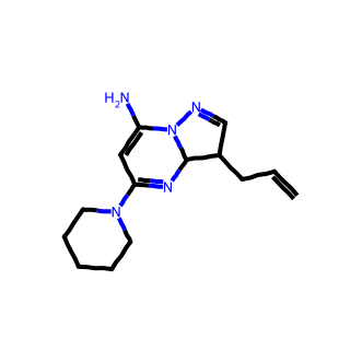 C=CCC1C=NN2C(N)=CC(N3CCCCC3)=NC12